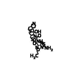 C=CCO/N=C(/C(=O)NC1C(=O)N2C(C(=O)O)=C(CS/C=C\c3cccnc3)CS[C@H]12)c1nsc(N)n1